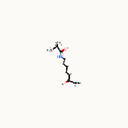 C=C(C)C(=O)NCCCCCC(=O)NC